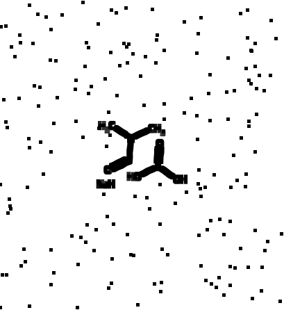 CN(C)C=O.O=S(O)O.[NaH]